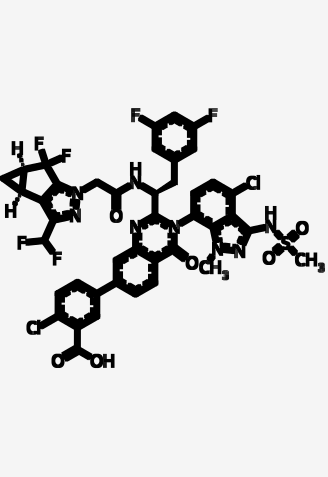 Cn1nc(NS(C)(=O)=O)c2c(Cl)ccc(-n3c([C@H](Cc4cc(F)cc(F)c4)NC(=O)Cn4nc(C(F)F)c5c4C(F)(F)[C@@H]4C[C@H]54)nc4cc(-c5ccc(Cl)c(C(=O)O)c5)ccc4c3=O)c21